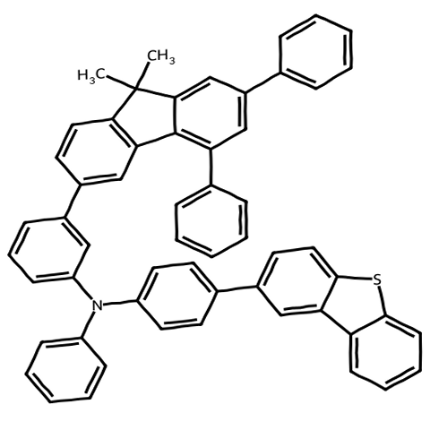 CC1(C)c2ccc(-c3cccc(N(c4ccccc4)c4ccc(-c5ccc6sc7ccccc7c6c5)cc4)c3)cc2-c2c(-c3ccccc3)cc(-c3ccccc3)cc21